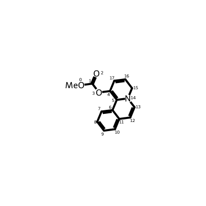 COC(=O)OC1=C2c3ccccc3C=CN2CC=C1